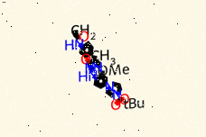 C=CC(=O)Nc1cccc(Oc2nc(Nc3ccc(N4CCCN(C(=O)OC(C)(C)C)CC4)cc3OC)ncc2C)c1